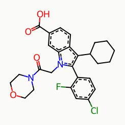 O=C(O)c1ccc2c(C3CCCCC3)c(-c3ccc(Cl)cc3F)n(CC(=O)N3CCOCC3)c2c1